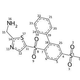 CS(=O)(=O)c1ccc(S(=O)(=O)c2cnc(CN)s2)c(-c2ccccc2)c1